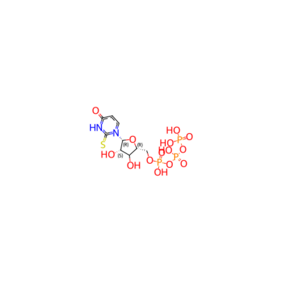 O=c1ccn([C@@H]2O[C@H](COP(=O)(O)OP(=O)(O)OP(=O)(O)O)C(O)[C@@H]2O)c(=S)[nH]1